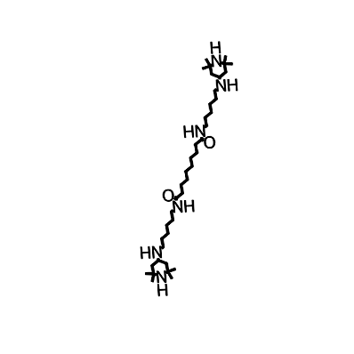 CC1(C)CC(NCCCCCCNC(=O)CCCCCCCCC(=O)NCCCCCCNC2CC(C)(C)NC(C)(C)C2)CC(C)(C)N1